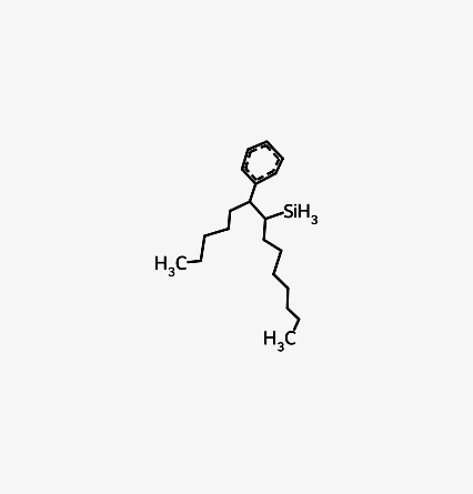 CCCCCCCC([SiH3])C(CCCCC)c1ccccc1